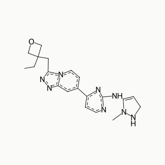 CCC1(Cc2nnc3cc(-c4ccnc(NC5=CCNN5C)n4)ccn23)COC1